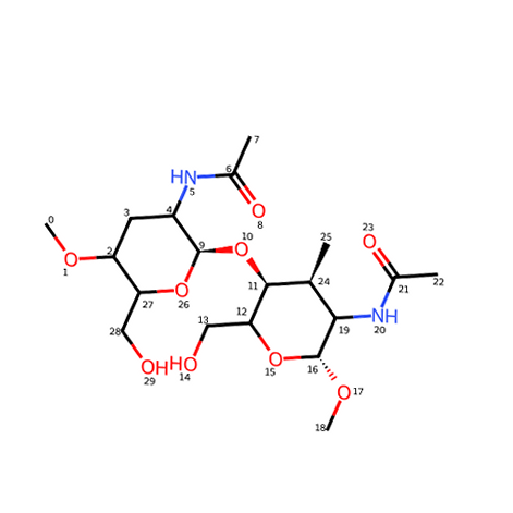 COC1CC(NC(C)=O)[C@@H](O[C@@H]2C(CO)O[C@@H](OC)C(NC(C)=O)[C@@H]2C)OC1CO